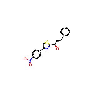 O=C(C=Cc1ccccc1)c1nc(-c2ccc([N+](=O)[O-])cc2)cs1